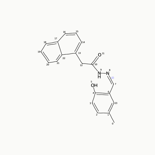 Cc1ccc(O)c(/C=N\NC(=O)Cc2cccc3ccccc23)c1